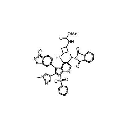 COC(=O)NC1CC(Nc2c([C@@H](C)N3C(=O)c4ccccc4C3=O)cnc3c2c(-c2ccc4c(cnn4C(C)C)c2)c(-c2cnn(C)c2)n3S(=O)(=O)c2ccccc2)C1